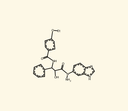 CCOc1ccc(C(=O)NC(c2ccccc2)C(O)C(=O)N(N)c2ccc3nc[nH]c3c2)cc1